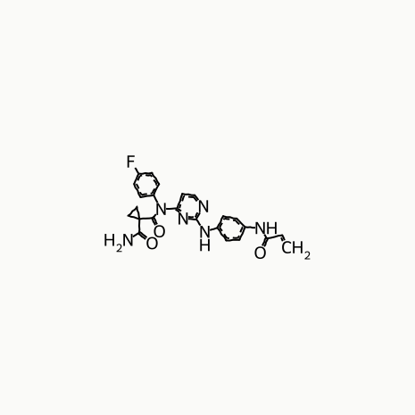 C=CC(=O)Nc1ccc(Nc2nccc(N(C(=O)C3(C(N)=O)CC3)c3ccc(F)cc3)n2)cc1